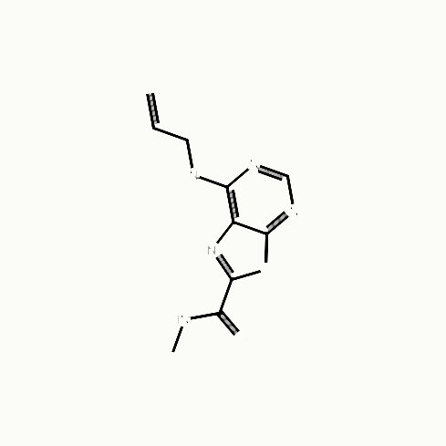 C=CCNc1ncnc2sc(C(=O)NC)nc12